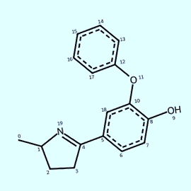 CC1CCC(c2ccc(O)c(Oc3ccccc3)c2)=N1